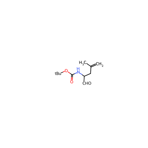 C=C(C)CC(C=O)NC(=O)OC(C)(C)C